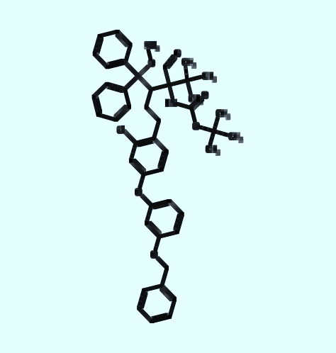 CC(C)(C)OC(=O)NC(C=O)(C(CCc1ccc(Oc2cccc(OCc3ccccc3)c2)cc1Cl)C(O[SiH3])(c1ccccc1)c1ccccc1)C(C)(C)C